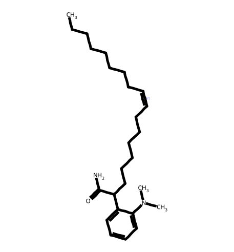 CCCCCCCC/C=C\CCCCCCC(C(N)=O)c1ccccc1N(C)C